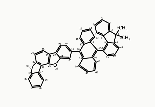 CC1(C)c2ccccc2-c2c(-c3c4ccccc4c(-c4ccc5c(c4)oc4c5ccc5oc6ccccc6c54)c4ccccc34)cccc21